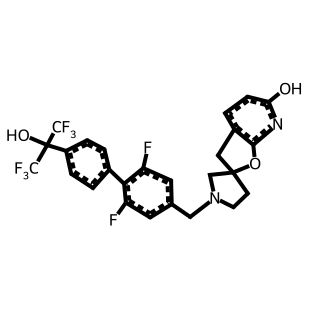 Oc1ccc2c(n1)OC1(CCN(Cc3cc(F)c(-c4ccc(C(O)(C(F)(F)F)C(F)(F)F)cc4)c(F)c3)C1)C2